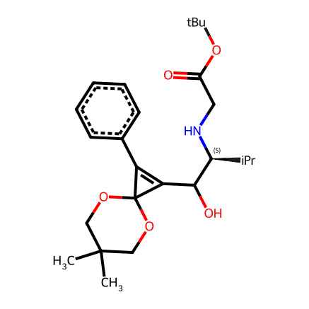 CC(C)[C@H](NCC(=O)OC(C)(C)C)C(O)C1=C(c2ccccc2)C12OCC(C)(C)CO2